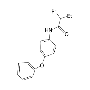 CCC(C(=O)Nc1ccc(Oc2ccccc2)cc1)C(C)C